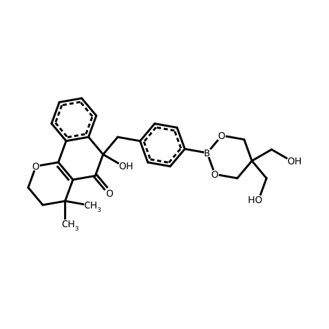 CC1(C)CCOC2=C1C(=O)C(O)(Cc1ccc(B3OCC(CO)(CO)CO3)cc1)c1ccccc12